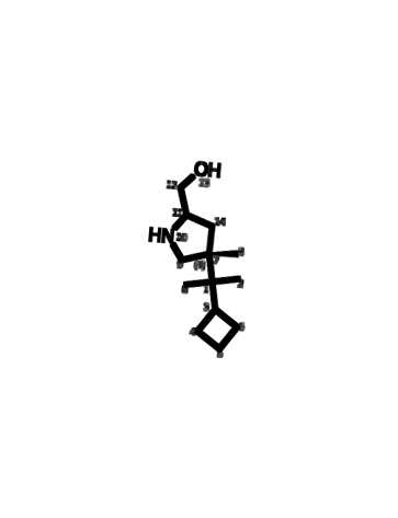 CC(C)(C1CCC1)[C@]1(C)CNC(CO)C1